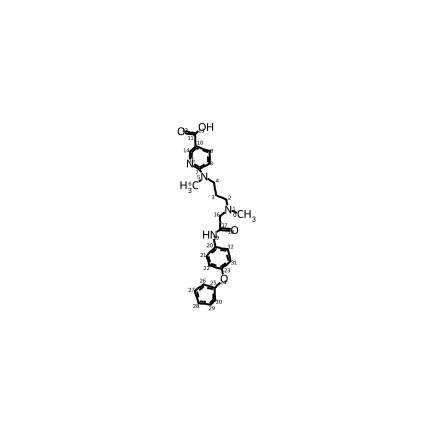 CN(CCCN(C)c1ccc(C(=O)O)cn1)CC(=O)Nc1ccc(Oc2ccccc2)cc1